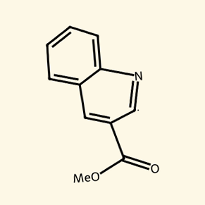 COC(=O)c1[c]nc2ccccc2c1